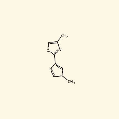 Cc1coc(-c2cn(C)cn2)n1